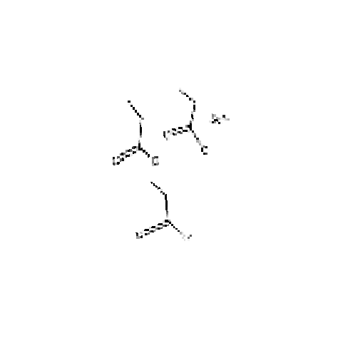 CCC(=O)[O-].CCC(=O)[O-].CCC(=O)[O-].[Sc+3]